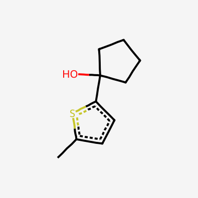 Cc1ccc(C2(O)CCCC2)s1